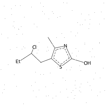 CCC(Cl)Cc1sc(O)nc1C